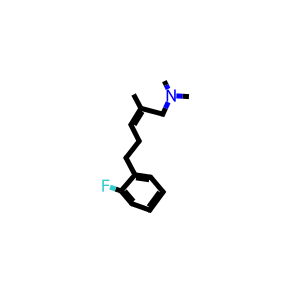 C/C(=C/CCc1ccccc1F)CN(C)C